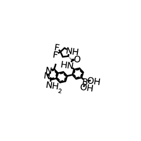 Cc1nnc(N)c2ccc(-c3cc(B(O)O)ccc3NC(=O)[C@@H]3CC(F)(F)CN3)cc12